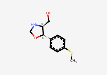 CSc1ccc([C@@H]2OCN[C@H]2CO)cc1